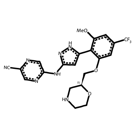 COc1cc(C(F)(F)F)cc(OC[C@@H]2CNCCO2)c1-c1cc(Nc2cnc(C#N)cn2)n[nH]1